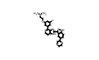 CN(C)CCOc1cc(F)cc(-c2nccc3[nH]c(-c4n[nH]c5ccc(-c6cnccn6)cc45)nc23)c1